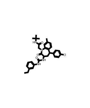 CCc1cccc(NC(=O)NC2CC(c3ccc(Cl)cc3)c3ccc(C)cc3N(CC(=O)NC(C)(C)C)C2=O)c1